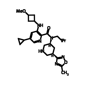 COC1CC(Nc2cc(C3CC3)cnc2C(=O)N(CC(C)C)[C@@H]2CNC[C@H](c3noc(C)n3)C2)C1